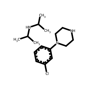 CC(C)NC(C)C.Clc1cccc(N2CCNCC2)c1